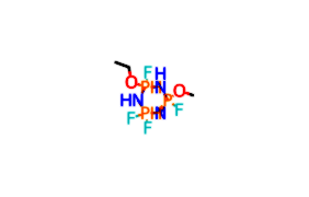 CCO[PH]1(F)NP(F)(OC)=N[PH](F)(F)N1